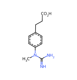 CN(C(=N)N)c1ccc(CCC(=O)O)cc1